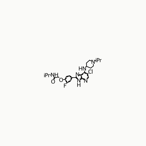 CC(C)NC(=O)COc1ccc(-c2nc3c(NC4CCN(C(C)C)CC4)c(Cl)cnc3[nH]2)cc1F